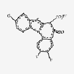 CCOC(=O)c1c(=O)c2cc(F)c(F)cc2n2c1sc1cc(Cl)ccc12